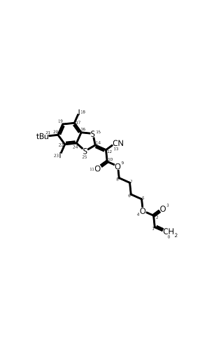 C=CC(=O)OCCCCOC(=O)/C(C#N)=C1/Sc2c(I)cc(C(C)(C)C)c(I)c2S1